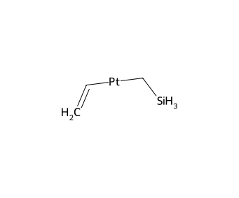 C=[CH][Pt][CH2][SiH3]